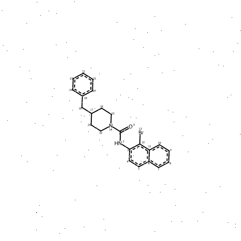 O=C(Nc1ccc2ccccc2c1Br)N1CCC(Cc2ccccc2)CC1